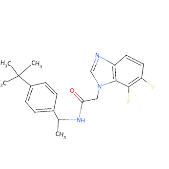 CC(NC(=O)Cn1cnc2ccc(F)c(F)c21)c1ccc(C(C)(C)C)cc1